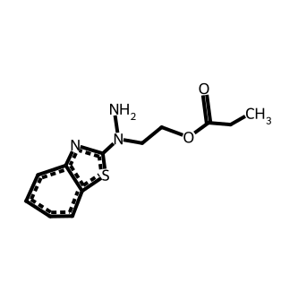 CCC(=O)OCCN(N)c1nc2ccccc2s1